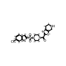 O=C(c1nc2c(s1)CNCC2)N1CCN(S(=O)(=O)c2cc3ccc(Cl)cc3s2)CC1